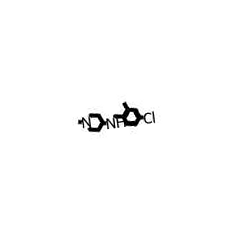 Cc1cc(Cl)ccc1CNC1CCN(C)CC1